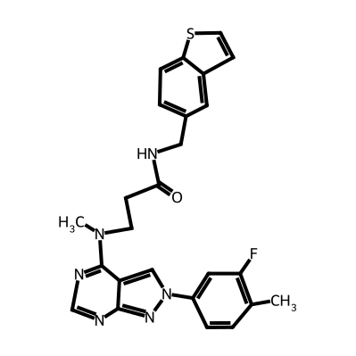 Cc1ccc(-n2cc3c(N(C)CCC(=O)NCc4ccc5sccc5c4)ncnc3n2)cc1F